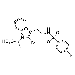 CC(C(=O)O)n1c(Br)c(CCNS(=O)(=O)c2ccc(F)cc2)c2ccccc21